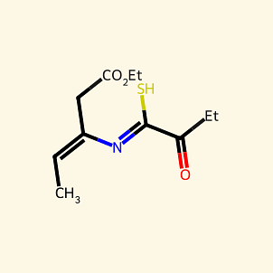 C/C=C(CC(=O)OCC)\N=C(/S)C(=O)CC